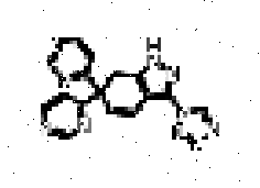 C1=CC(c2ccncn2)(c2ccncn2)Cc2[nH]nc(-n3cnnn3)c21